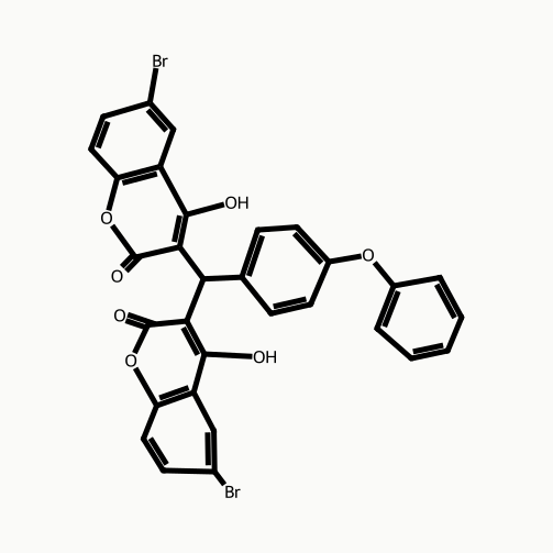 O=c1oc2ccc(Br)cc2c(O)c1C(c1ccc(Oc2ccccc2)cc1)c1c(O)c2cc(Br)ccc2oc1=O